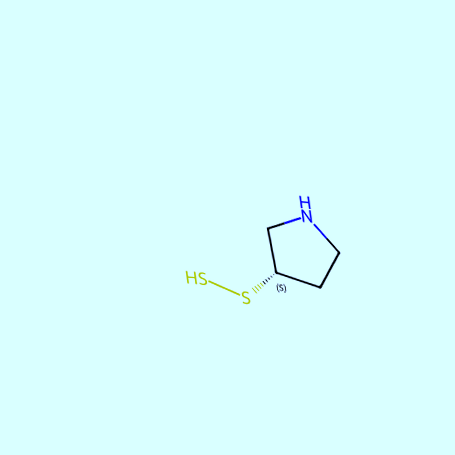 SS[C@H]1CCNC1